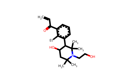 C=CC(=O)c1cccc(C2C(O)CC(C)(C)N(CCO)C2(C)C)c1CC